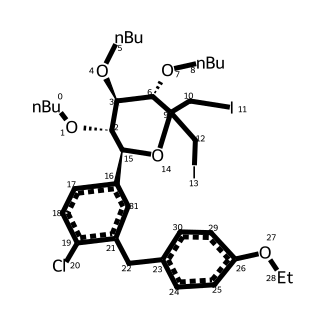 CCCCO[C@@H]1[C@@H](OCCCC)[C@H](OCCCC)C(CI)(CI)O[C@H]1c1ccc(Cl)c(Cc2ccc(OCC)cc2)c1